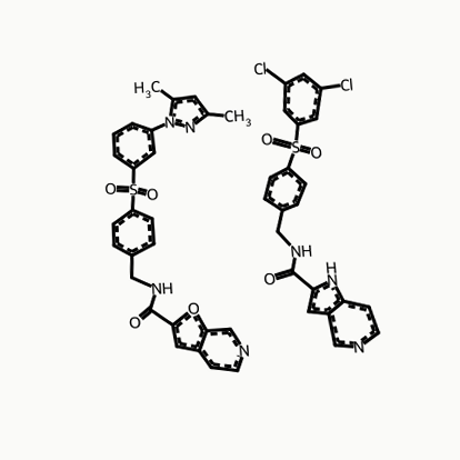 Cc1cc(C)n(-c2cccc(S(=O)(=O)c3ccc(CNC(=O)c4cc5ccncc5o4)cc3)c2)n1.O=C(NCc1ccc(S(=O)(=O)c2cc(Cl)cc(Cl)c2)cc1)c1cc2cnccc2[nH]1